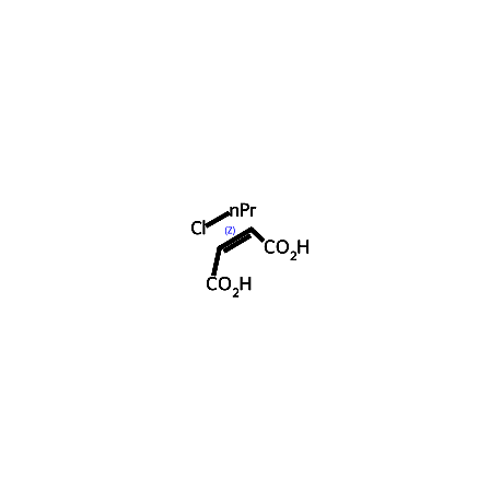 CCCCl.O=C(O)/C=C\C(=O)O